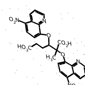 CC(Oc1ccc([N+](=O)[O-])c2cccnc12)(C(=O)O)C(CCC(=O)O)Oc1ccc([N+](=O)[O-])c2cccnc12